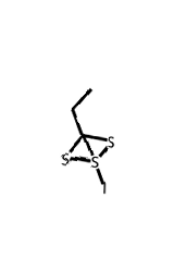 CCC12SS1(I)S2